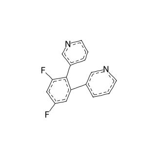 Fc1cc(F)c(-c2cccnc2)c(-c2cccnc2)c1